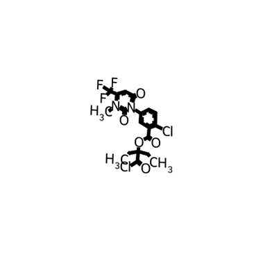 CCC(CC)(OC(=O)c1cc(-n2c(=O)cc(C(F)(F)F)n(C)c2=O)ccc1Cl)C(=O)Cl